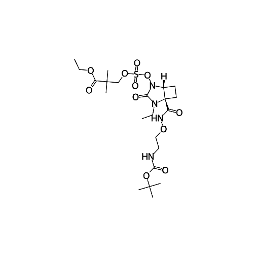 CCOC(=O)C(C)(C)COS(=O)(=O)ON1C(=O)N(CC)[C@@]2(C(=O)NOCCNC(=O)OC(C)(C)C)CC[C@@H]12